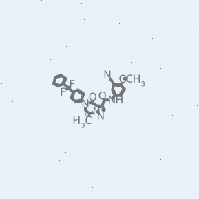 COc1ccc(NC(=O)c2cnn3c2C(=O)N(c2ccc(C(F)(F)c4ccccc4)cc2)C[C@@H]3C)cc1C#N